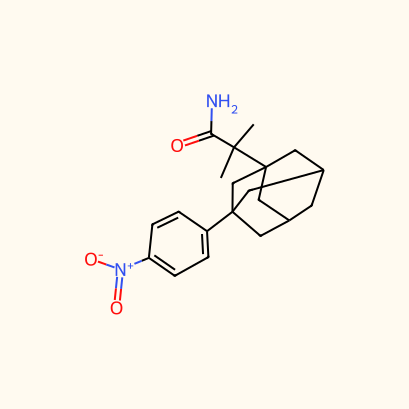 CC(C)(C(N)=O)C12CC3CC(CC(c4ccc([N+](=O)[O-])cc4)(C3)C1)C2